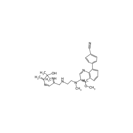 C=C(/N=C\C(=N)CNCCN(C)C(/C=N\c1c(C)cccc1-c1ccc(C#N)cc1)=C\OC)C(C)(C)O